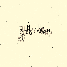 CCc1cc(NC(=O)CCCCNS(=O)(=O)C(C)C)ccc1OC1CCCC1